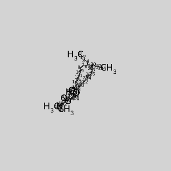 CCCC/C=C\C/C=C\CCCCCCCCC1(CCCCCCCC/C=C\C/C=C\CCCC)O[C@H]2CC(OC(=O)CCN(C)C)C[C@H]2O1